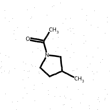 CC(=O)N1CCC(C)C1